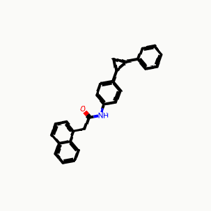 O=C(Cc1cccc2ccccc12)Nc1ccc(C2CC2c2ccccc2)cc1